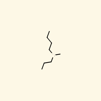 [CH2]CCN(C)CCCC